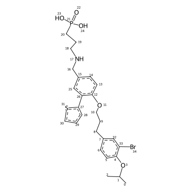 CC(C)Oc1ccc(CCCOc2ccc(CNCCCP(=O)(O)O)cc2-c2cccs2)cc1Br